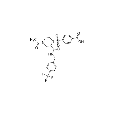 CC(=O)N1CCN(S(=O)(=O)c2ccc(C(=O)O)cc2)C(C(=O)NCc2ccc(C(F)(F)F)cc2)C1